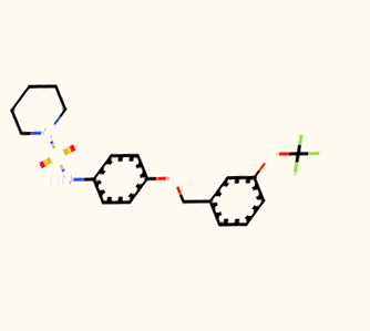 O=S(=O)(Nc1ccc(OCc2cccc(OC(F)(F)F)c2)cc1)N1CCCCC1